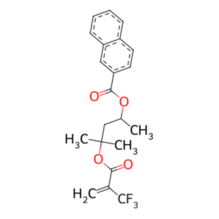 C=C(C(=O)OC(C)(C)CC(C)OC(=O)c1ccc2ccccc2c1)C(F)(F)F